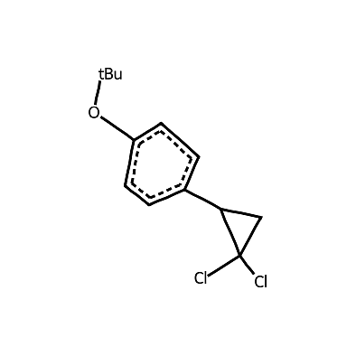 CC(C)(C)Oc1ccc(C2CC2(Cl)Cl)cc1